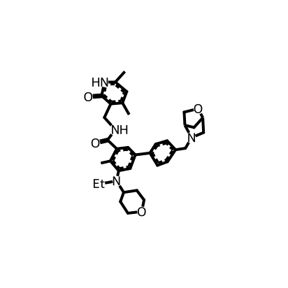 CCN(c1cc(-c2ccc(CN3CC4CC3CO4)cc2)cc(C(=O)NCc2c(C)cc(C)[nH]c2=O)c1C)C1CCOCC1